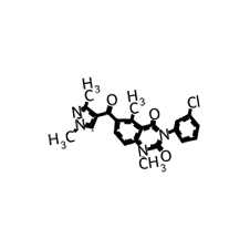 Cc1nn(C)[c]c1C(=O)c1ccc2c(c1C)c(=O)n(-c1cccc(Cl)c1)c(=O)n2C